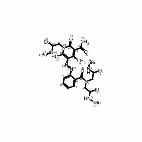 CCCCNC(CC)CN(CC(CC)NCCCC)C(=O)c1ccccc1/N=N/c1c(C)c(C(N)=O)c(=O)n(CC(CC)NCCCC)c1O